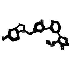 Cc1[nH]nnc1-c1ccnc(-c2cn(C[C@@H]3CCc4cc(F)ccc43)cn2)c1